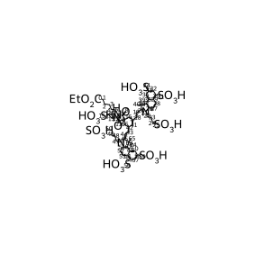 CCOC(=O)CCCCCNC(=O)C1(C(=O)NCCS(=O)(=O)O)CC(/C=C/C2=[N+](CCCS(=O)(=O)O)c3ccc4c(S(=O)(=O)O)cc(S(=O)(=O)O)cc4c3C2(C)C)=CC(=C/C=C2/N(CCCS(=O)(=O)O)c3ccc4c(S(=O)(=O)O)cc(S(=O)(=O)O)cc4c3C2(C)C)/C1